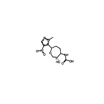 Cn1ncc([N+](=O)[O-])c1C1CCC(NC(=O)O)[C@H](O)CO1